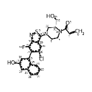 C=CC(=O)N1CCN(c2snc3c(F)c(-c4cc(O)cc5ccccc45)c(Cl)cc23)C[C@@H]1CO